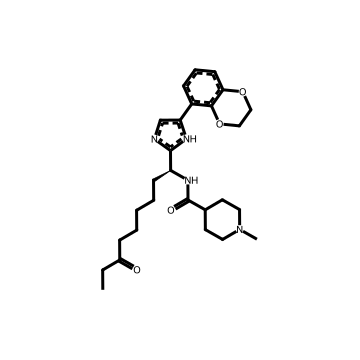 CCC(=O)CCCCC[C@H](NC(=O)C1CCN(C)CC1)c1ncc(-c2cccc3c2OCCO3)[nH]1